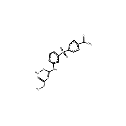 COC(=O)N=C(Nc1cccc(S(=O)(=O)c2ccc(C(C)=O)cc2)c1)SC